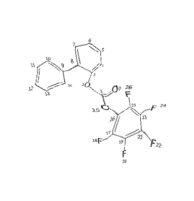 O=C(Oc1ccccc1-c1ccccc1)Oc1c(F)c(F)c(F)c(F)c1F